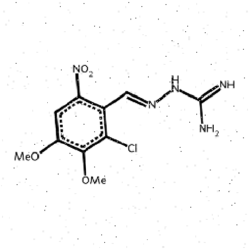 COc1cc([N+](=O)[O-])c(C=NNC(=N)N)c(Cl)c1OC